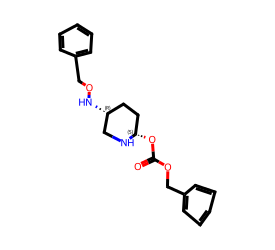 O=C(OCc1ccccc1)O[C@H]1CC[C@@H](NOCc2ccccc2)CN1